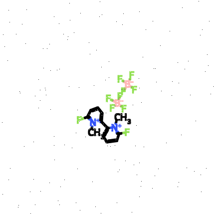 C[n+]1c(F)cccc1-c1cccc(F)[n+]1C.F[B-](F)(F)F.F[B-](F)(F)F